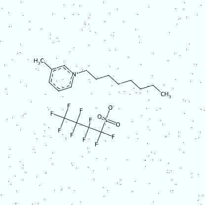 CCCCCCCC[n+]1cccc(C)c1.O=S(=O)([O-])C(F)(F)C(F)(F)C(F)(F)C(F)(F)F